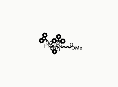 COC(=O)CCCCCNC(=O)[C@@H](CSC(c1ccccc1)(c1ccccc1)c1ccccc1)NC(=O)[C@@H](Cc1ccccc1)NC(=O)OCC1c2ccccc2-c2ccccc21